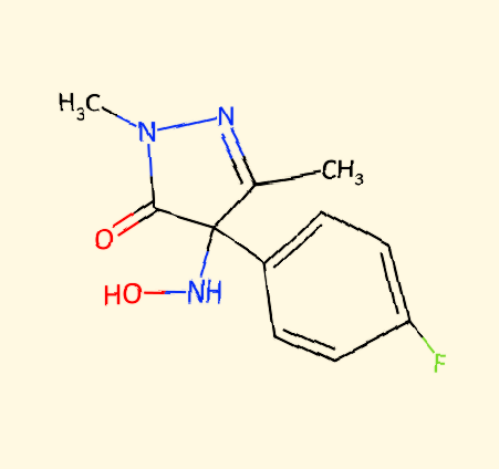 CC1=NN(C)C(=O)C1(NO)c1ccc(F)cc1